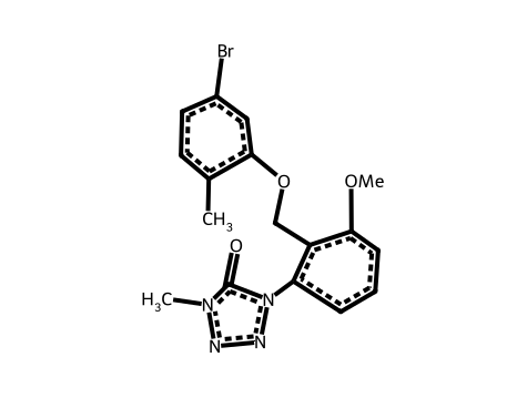 COc1cccc(-n2nnn(C)c2=O)c1COc1cc(Br)ccc1C